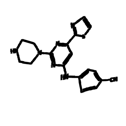 N#Cc1ccc(Nc2cc(-c3nccs3)nc(N3CCNCC3)n2)cc1